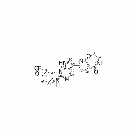 O=C1NCCOc2nc(-c3c[nH]c4nc(N[C@H]5CC[C@@H](OC(F)(F)F)CC5)ncc34)ccc21